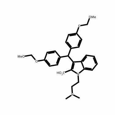 COCOc1ccc(C(c2ccc(OCOC)cc2)c2c(C(=O)O)n(CCN(C)C)c3ccccc23)cc1